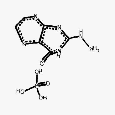 NNc1nc2nccnc2c(=O)[nH]1.O=P(O)(O)O